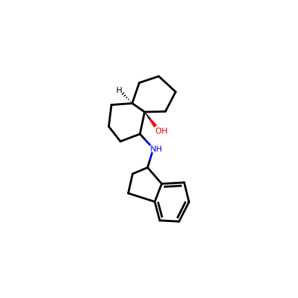 O[C@]12CCCC[C@@H]1CCCC2NC1CCc2ccccc21